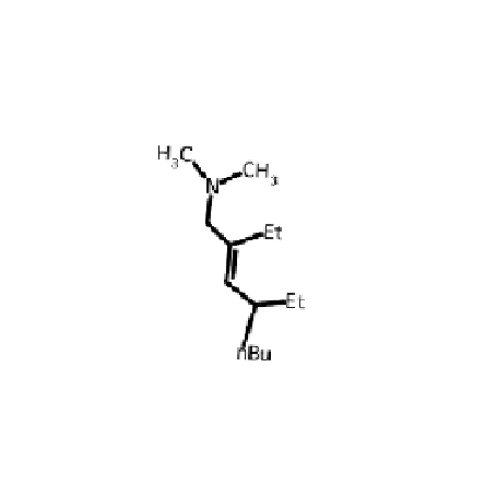 CCCCC(/C=C(\CC)CN(C)C)CC